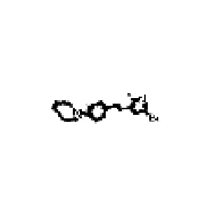 Fc1ncc(Br)cc1C=Cc1ccc(N2CCCCC2)cc1